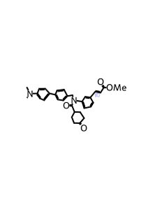 COC(=O)/C=C/c1cccc(N(Cc2ccc(-c3ccc(N(C)C)cc3)cc2)C(=O)C2CCC(=O)CC2)c1